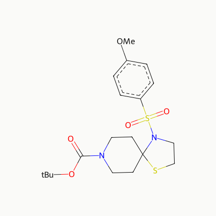 COc1ccc(S(=O)(=O)N2CCSC23CCN(C(=O)OC(C)(C)C)CC3)cc1